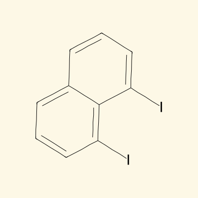 Ic1cccc2cccc(I)c12